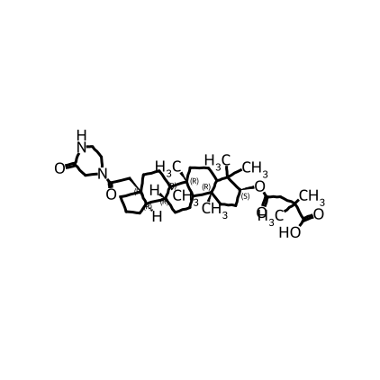 CC(C)(CC(=O)O[C@H]1CC[C@@]2(C)C(CC[C@]3(C)C2CC[C@@H]2[C@H]4CCC[C@]4(CC(=O)N4CCNC(=O)C4)CC[C@]23C)C1(C)C)C(=O)O